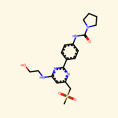 CS(=O)(=O)Cc1cc(NCCO)nc(-c2ccc(NC(=O)N3CCCC3)cc2)n1